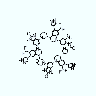 CN(C)c1cc(N2CCC(C3CCCN(c4cc(N5CCC(C6CN(c7cc(N8CCCc9cc(-c%10cnn(C)c%10)c(C(F)F)cc98)cc8c7n(C)c(=O)n8C)CCO6)c6cc(-c7cnn(C)c7)c(C(F)F)cc65)cc5c4n(C)c(=O)n5C)C3)c3cc(-c4cnn(C)c4)c(C(F)F)cc32)cc(N2CCCC2)c1N(C)C=O